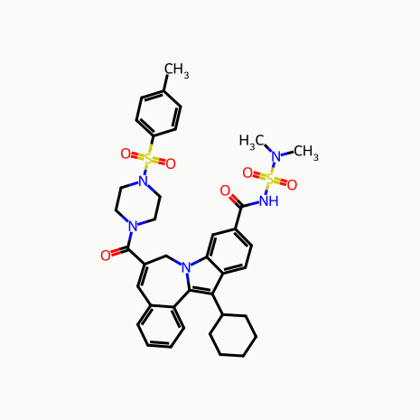 Cc1ccc(S(=O)(=O)N2CCN(C(=O)C3=Cc4ccccc4-c4c(C5CCCCC5)c5ccc(C(=O)NS(=O)(=O)N(C)C)cc5n4C3)CC2)cc1